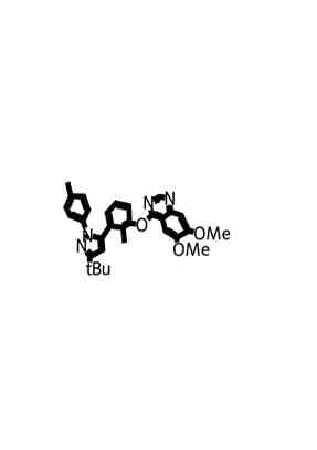 COc1cc2ncnc(Oc3cccc(-c4cc(C(C)(C)C)nn4-c4ccc(C)cc4)c3C)c2cc1OC